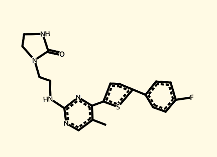 Cc1cnc(NCCN2CCNC2=O)nc1-c1ccc(-c2ccc(F)cc2)s1